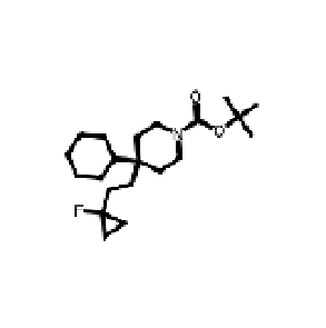 CC(C)(C)OC(=O)N1CCC(CCC2(F)CC2)(C2CCCCC2)CC1